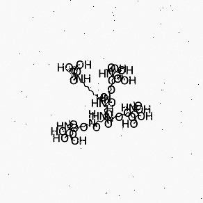 CC(=O)NC1C(OCCOCCNC(=O)CCC(NC(=O)CCC(NC(=O)CCCCCCCCCNC(=O)[C@H]2C[C@H](O)[C@@H](CO)O2)C(=O)NCCOCCOC2O[C@H](CO)C(O)C(O)C2NC(C)=O)C(=O)NCCOCCOC2OC(CO)C(O)C(O)C2NC(C)=O)OC(CO)C(O)C1O